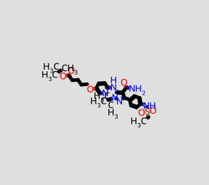 CCS(=O)(=O)Nc1ccc(-c2nn(C(C)(C)C)c(Nc3ccc(OCCCCC(=O)OC(C)(C)C)cn3)c2C(N)=O)cc1